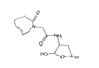 O=C(CN1CC=CC[C]C1=O)NC1CC(=O)OC1O